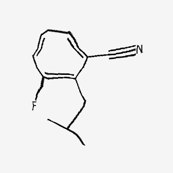 CC(C)Cc1c(F)cccc1C#N